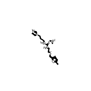 CNC.Cc1ccc(CSCCNC(=S)NCCCn2ccnc2)o1